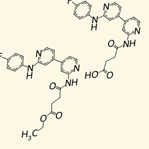 CCOC(=O)CCC(=O)Nc1cc(-c2ccnc(Nc3ccc(F)cc3)c2)ccn1.O=C(O)CCC(=O)Nc1cc(-c2ccnc(Nc3ccc(F)cc3)c2)ccn1